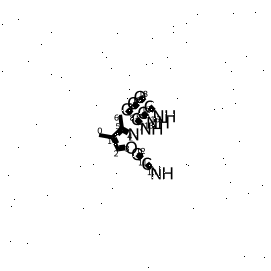 Cc1conc1C.N=C=O.N=C=O.N=C=O.N=C=O